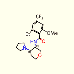 CCc1cc(C(F)(F)F)cc(OC)c1C(=O)N[C@H]1COCC[C@H]1N1CCCC1